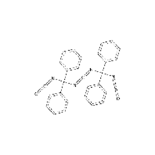 O=C=NC(N=C=NC(N=C=O)(c1ccccc1)c1ccccc1)(c1ccccc1)c1ccccc1